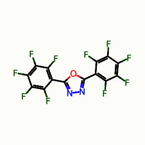 Fc1c(F)c(F)c(-c2nnc(-c3c(F)c(F)c(F)c(F)c3F)o2)c(F)c1F